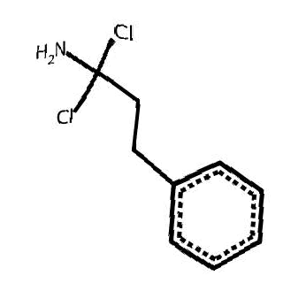 NC(Cl)(Cl)CCc1ccccc1